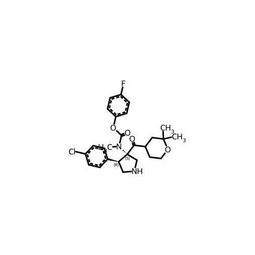 CN(C(=O)Oc1ccc(F)cc1)[C@]1(C(=O)C2CCOC(C)(C)C2)CNC[C@H]1c1ccc(Cl)cc1